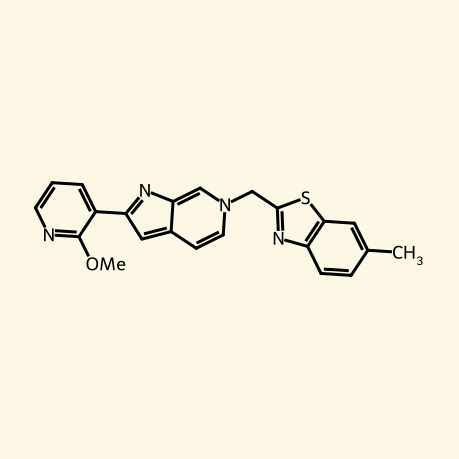 COc1ncccc1-c1cc2ccn(Cc3nc4ccc(C)cc4s3)cc-2n1